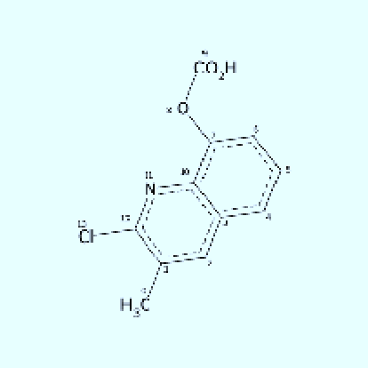 Cc1cc2cccc(OC(=O)O)c2nc1Cl